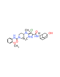 COc1ccccc1NC(=O)N1CCC(N(C)c2c(Cl)c(C(=O)N[C@H]3C4CC5CC3C[C@](O)(C5)C4)nn2C)CC1